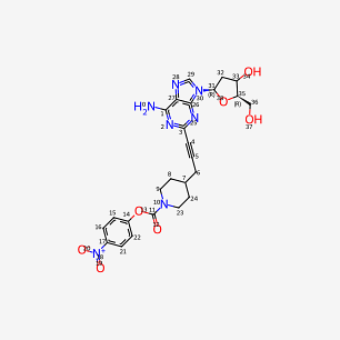 Nc1nc(C#CCC2CCN(C(=O)Oc3ccc([N+](=O)[O-])cc3)CC2)nc2c1ncn2[C@H]1CC(O)[C@@H](CO)O1